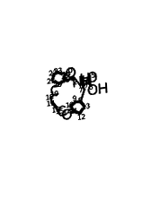 O=C1N[C@H](C(=O)O)Cc2ccc(cc2)OCC=CCCc2ccccc21